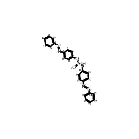 O=[AsH](Oc1ccc(/N=N/c2ccccc2)cc1)Oc1ccc(/N=N/c2ccccc2)cc1